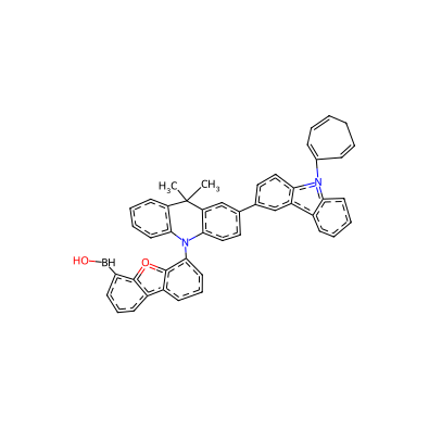 CC1(C)c2ccccc2N(c2cccc3c2oc2c(BO)cccc23)c2ccc(-c3ccc4c(c3)c3ccccc3n4C3=CC=CCC=C3)cc21